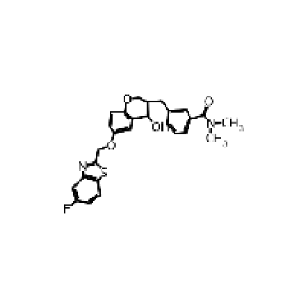 CN(C)C(=O)c1cccc(CC2COc3ccc(OCc4nc5cc(F)ccc5s4)cc3C2O)c1